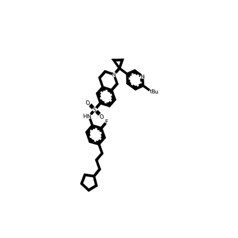 CC(C)(C)c1ccc(C2(N3CCc4cc(S(=O)(=O)Nc5ccc(CCCC6CCCC6)cc5F)ccc4C3)CC2)cn1